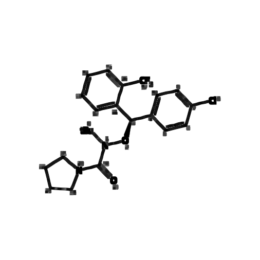 CC(C)(C)N(O[C@H](c1ccc(Cl)cc1)c1ccccc1C(F)(F)F)C(=O)N1CCCC1